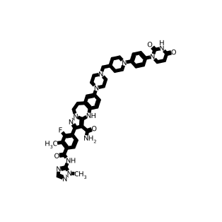 Cc1c(C(=O)Nc2ncnn2C)ccc(-c2nn3c(c2C(N)=O)Nc2ccc(N4CCN(CC5CCN(c6ccc(N7CCC(=O)NC7=O)cc6)CC5)CC4)cc2CC3)c1F